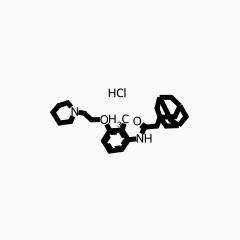 Cc1c(NC(=O)CC23CC4CC(CC(C4)C2)C3)cccc1OCCN1CCCCC1.Cl